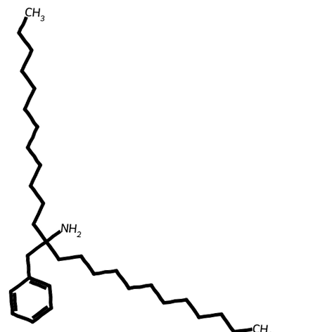 CCCCCCCCCCCCC(N)(CCCCCCCCCCCC)Cc1ccccc1